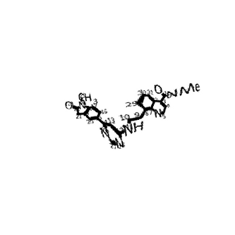 CNC(=O)c1ccnc2c(CCNc3cc(-c4ccc5c(c4)CC(=O)N5C)ncn3)cccc12